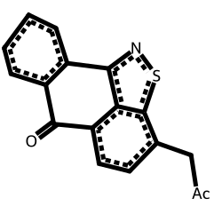 CC(=O)Cc1ccc2c3c(nsc13)-c1ccccc1C2=O